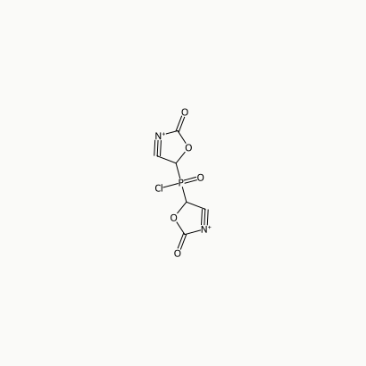 O=C1[N+]#CC(P(=O)(Cl)C2C#[N+]C(=O)O2)O1